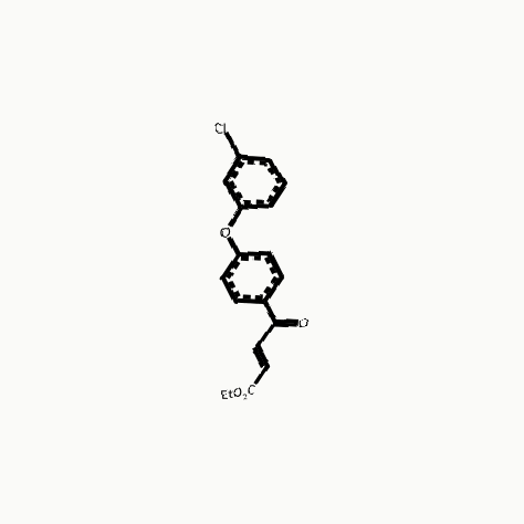 CCOC(=O)/C=C/C(=O)c1ccc(Oc2cccc(Cl)c2)cc1